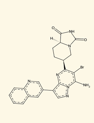 Nc1c(Br)c([C@H]2CC[C@H]3C(=O)NC(=O)N3C2)nc2c(-c3cnc4ccccc4c3)cnn12